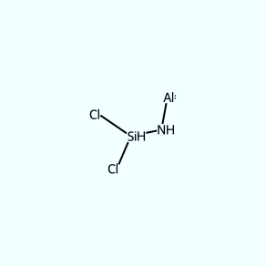 [Al][NH][SiH](Cl)Cl